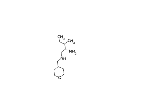 CCC(C)[C@H](N)CNCC1CCOCC1